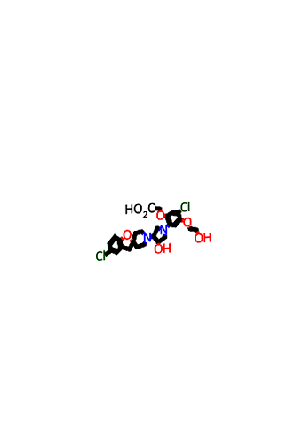 O=C(O)COc1cc(Cl)c(OCCO)cc1N1CC(O)C(N2CCC3(CC2)Cc2cc(Cl)ccc2O3)C1